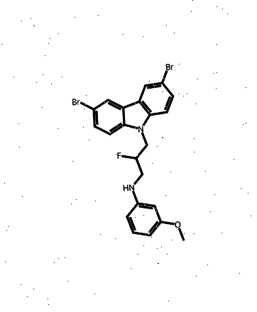 COc1cccc(NCC(F)Cn2c3ccc(Br)cc3c3cc(Br)ccc32)c1